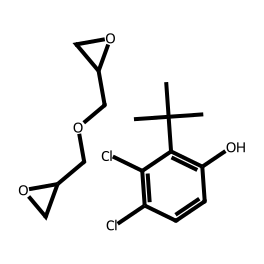 C(OCC1CO1)C1CO1.CC(C)(C)c1c(O)ccc(Cl)c1Cl